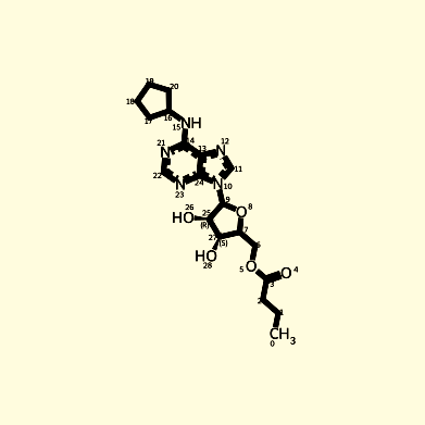 CCCC(=O)OCC1OC(n2cnc3c(NC4CCCC4)ncnc32)[C@H](O)[C@@H]1O